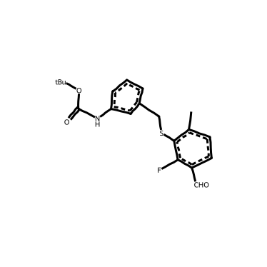 Cc1ccc(C=O)c(F)c1SCc1cccc(NC(=O)OC(C)(C)C)c1